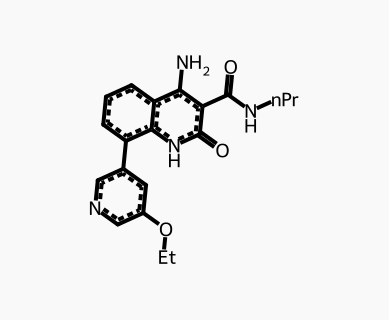 CCCNC(=O)c1c(N)c2cccc(-c3cncc(OCC)c3)c2[nH]c1=O